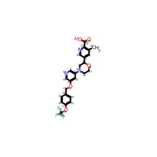 Cc1cc(C2CN(c3cncc(OCc4ccc(OC(F)(F)F)cc4)c3)CCO2)cnc1C(=O)O